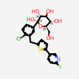 OC[C@H]1O[C@@](O)(c2ccc(Cl)c(Cc3ccc(-c4ccc(F)nc4)s3)c2)[C@H](O)C(O)[C@@H]1O